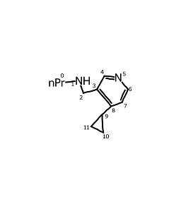 CCCNCc1cnccc1C1CC1